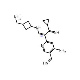 N=Cc1cnc(/C(=C/NC2CC(CN)C2)C(=N)C2CC2)cc1N